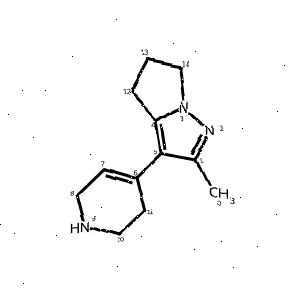 Cc1nn2c(c1C1=CCNCC1)CCC2